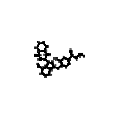 COC(=O)c1ccc(Cn2cc(C(=O)NC3CCCCC3O)c3c(F)cccc32)c(F)c1